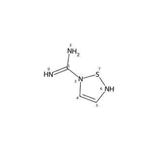 N=C(N)N1C=CNS1